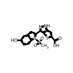 CS(=O)(=O)n1c(-c2n[nH]c3cc(C(=O)O)sc23)cc2cc(O)ccc21